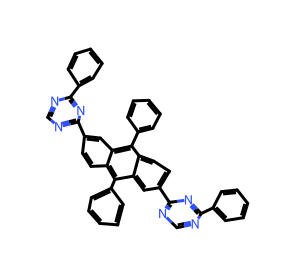 c1ccc(-c2ncnc(-c3ccc4c(-c5ccccc5)c5cc(-c6ncnc(-c7ccccc7)n6)ccc5c(-c5ccccc5)c4c3)n2)cc1